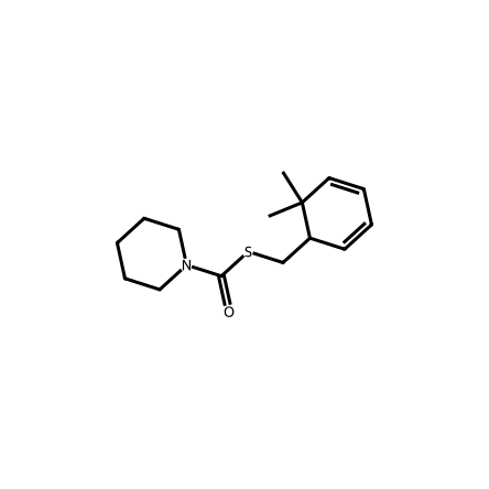 CC1(C)C=CC=CC1CSC(=O)N1CCCCC1